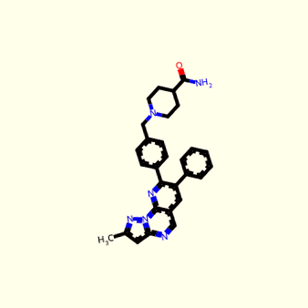 Cc1cc2ncc3cc(-c4ccccc4)c(-c4ccc(CN5CCC(C(N)=O)CC5)cc4)nc3n2n1